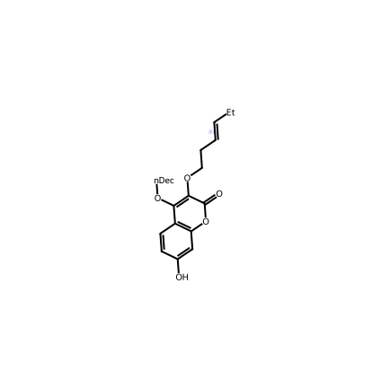 CC/C=C/CCOc1c(OCCCCCCCCCC)c2ccc(O)cc2oc1=O